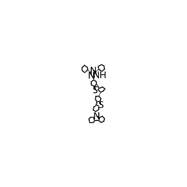 c1ccc(C2=NC(c3ccc4sc5c(-c6ccc7c(c6)sc6cc(-n8c9ccccc9c9ccccc98)ccc67)cccc5c4c3)NC(c3ccccc3)=N2)cc1